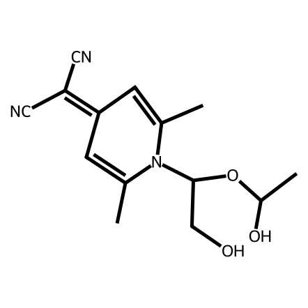 CC1=CC(=C(C#N)C#N)C=C(C)N1C(CO)OC(C)O